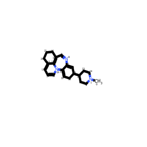 CN1CCC(C2C=C3N=CC4=C5C(=CC=CN5C3=CC2)CCC4)CC1